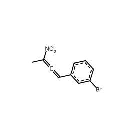 CC(=C=Cc1cccc(Br)c1)[N+](=O)[O-]